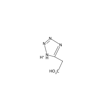 O=C(O)Cc1nnn[nH]1.[H+]